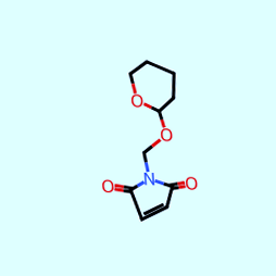 O=C1C=CC(=O)N1COC1CCCCO1